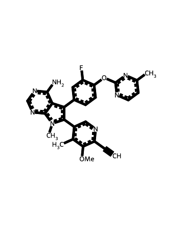 C#Cc1ncc(-c2c(-c3ccc(Oc4nccc(C)n4)c(F)c3)c3c(N)ncnc3n2C)c(C)c1OC